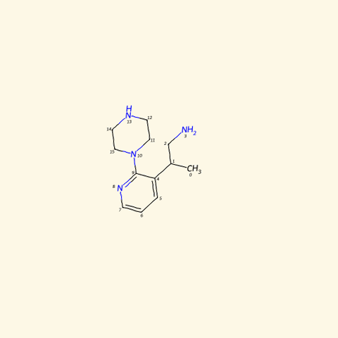 CC(CN)c1cccnc1N1CCNCC1